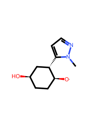 Cn1nccc1[C@H]1C[C@H](O)CC[C@@H]1[O]